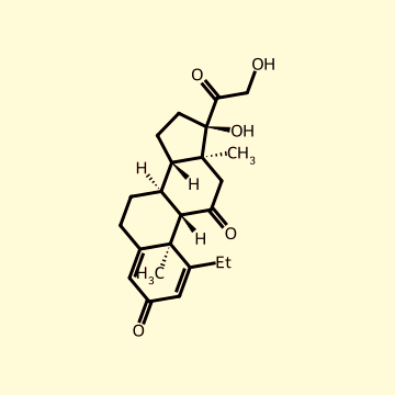 CCC1=CC(=O)C=C2CC[C@@H]3[C@H](C(=O)C[C@@]4(C)[C@H]3CC[C@]4(O)C(=O)CO)[C@@]12C